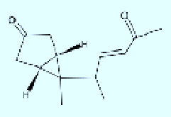 CC(=O)/C=C/C(C)C1(C)[C@@H]2CC(=O)C[C@@H]21